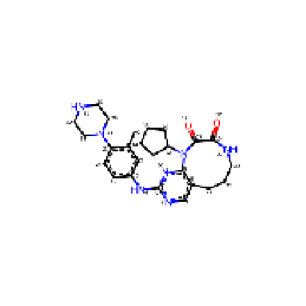 Cc1cc(Nc2ncc3c(n2)N(C2CCCC2)C(=O)C(=O)NCCC3)ccc1N1CCNCC1